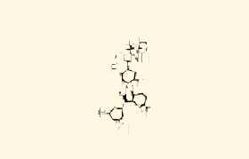 CS(=O)(=O)NC(=O)c1cc(Cl)c(-n2nc(-c3cc(F)cc(Cl)c3)c3cc(F)ccc32)cc1F